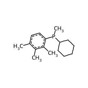 Cc1ccc(P(C)C2CCCCC2)c(C)c1C